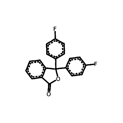 O=C1OC(c2ccc(F)cc2)(c2ccc(F)cc2)c2ccccc21